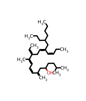 C=C(\C=C/C=C(C)/C(=C/C)C/C=C(\C=C/CC)CC(CCC)CCCC)CC(O)CCC(C)C